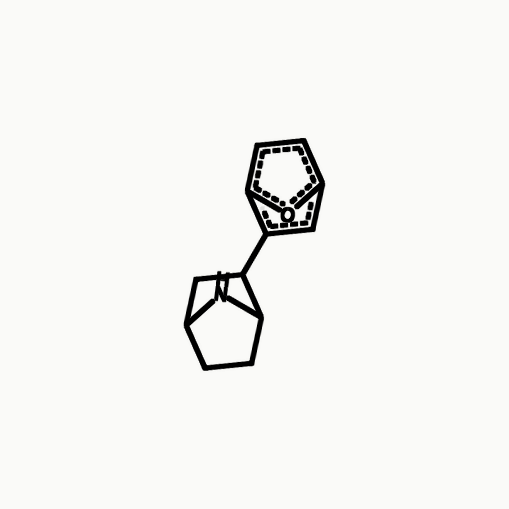 c1cc2oc1cc2C1CC2CCC1N2